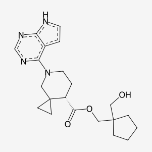 O=C(OCC1(CO)CCCC1)[C@H]1CCN(c2ncnc3[nH]ccc23)CC12CC2